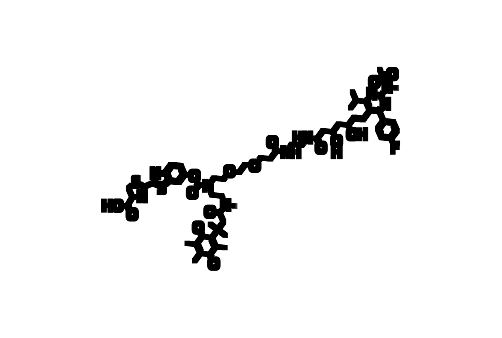 CC1=C(C)C(=O)C(C(C)(C)CC(=O)N(C)CCN(CCOCCOCCC(=O)NCCNC(=O)C[C@H](O)C[C@H](O)C=Cc2c(-c3ccc(F)cc3)nc(N(C)S(C)(=O)=O)nc2C(C)C)C(=O)Oc2ccc3nc(C4=NC(C(=O)O)CS4)sc3c2)=C(C)C1=O